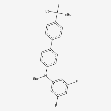 CCCCC(C)(CC)c1ccc(-c2ccc(N(c3cc(F)cc(F)c3)C(C)CC)cc2)cc1